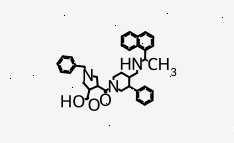 C[C@@H](NCC1CCN(C(=O)C2CN(Cc3ccccc3)CC2C(=O)O)CC1c1ccccc1)c1cccc2ccccc12